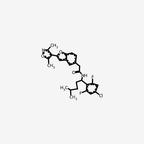 Cc1noc(C)c1-c1cc2cc(CC(=O)NC(CCC(C)C)c3c(F)cc(Cl)cc3F)ccc2o1